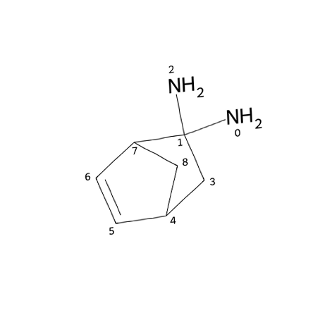 NC1(N)CC2C=CC1C2